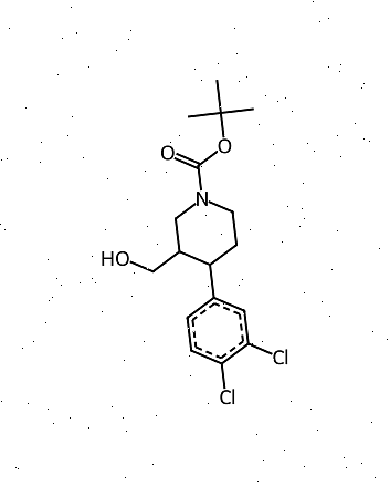 CC(C)(C)OC(=O)N1CCC(c2ccc(Cl)c(Cl)c2)C(CO)C1